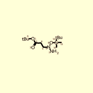 CC(C)(C)OC(=O)CCN(N)O[Si](C)(C)C(C)(C)C